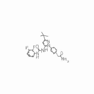 CC(C)(C)c1cc(NC(=O)Nc2cccc(F)c2F)n(-c2ccc(CC(N)=O)cc2)n1